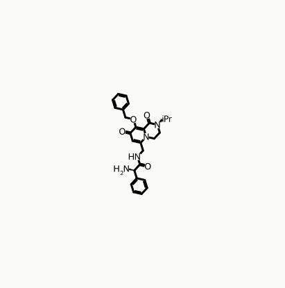 CC(C)N1CCn2c(CNC(=O)[C@H](N)c3ccccc3)cc(=O)c(OCc3ccccc3)c2C1=O